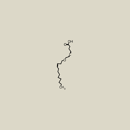 CCCCCCCC/C=C\CCOCC=C=CCCC(=O)O